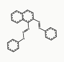 c1ccc([N]N=Nc2c(N=Nc3ccccc3)ccc3ccccc23)cc1